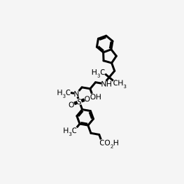 Cc1cc(S(=O)(=O)N(C)CC(O)CNC(C)(C)CC2Cc3ccccc3C2)ccc1CCC(=O)O